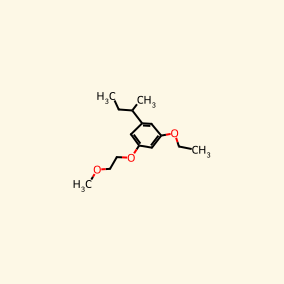 CCOc1cc(OCCOC)cc(C(C)CC)c1